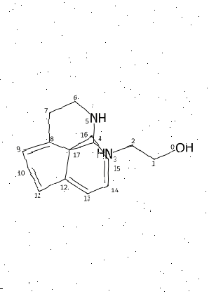 OCCNC1NCCC2=CC=CC3=CC=CCC321